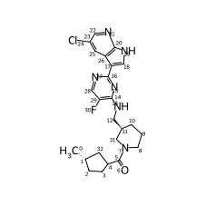 C[C@H]1CCC(C(=O)N2CCC[C@H](CNc3nc(-c4c[nH]c5ncc(Cl)cc45)ncc3F)C2)C1